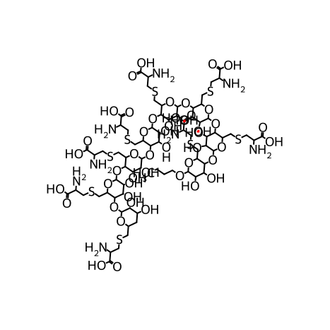 CCCCOC1OC(CSCC(N)C(=O)O)C(OC2OC(CSCC(N)C(=O)O)C(OC3OC(CSCC(N)C(=O)O)C(OC4OC(CSCC(N)C(=O)O)C(OC5OC(CSCC(N)C(=O)O)C(OC6OC(CSCC(N)C(=O)O)C(OC7OC(CSCC(N)C(=O)O)C(OC8OC(CSCC(N)C(=O)O)CC(O)C8O)C(O)C7O)C(O)C6O)C(O)C5O)C(O)C4O)C(O)C3O)C(O)C2O)C(O)C1O